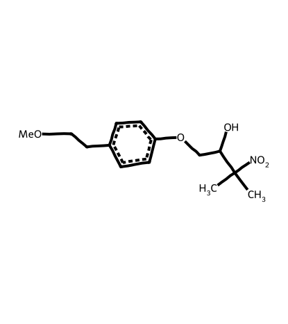 COCCc1ccc(OCC(O)C(C)(C)[N+](=O)[O-])cc1